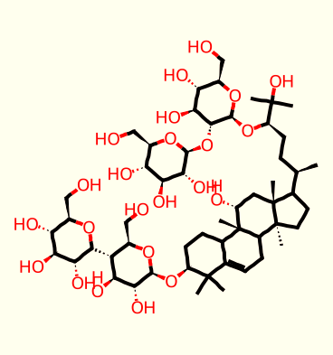 C[C@H](CC[C@@H](O[C@@H]1O[C@H](CO)[C@@H](O)[C@H](O)[C@H]1O[C@@H]1O[C@H](CO)[C@@H](O)[C@H](O)[C@H]1O)C(C)(C)O)C1CC[C@@]2(C)C3CC=C4C(CC[C@H](O[C@@H]5O[C@H](CO)[C@@H](C6O[C@H](CO)[C@@H](O)[C@H](O)[C@H]6O)[C@H](O)[C@H]5O)C4(C)C)[C@]3(C)[C@H](O)C[C@]12C